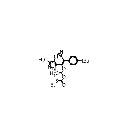 CCSC(=O)OC(C)O/C(=C(\c1ccc(C(C)(C)C)cc1)C1C=N1)c1c(Cl)c(C)nn1CC